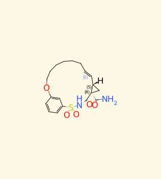 NC(=O)[C@@]12C[C@H]1/C=C/CCCCCCOc1cccc(c1)S(=O)(=O)NC2=O